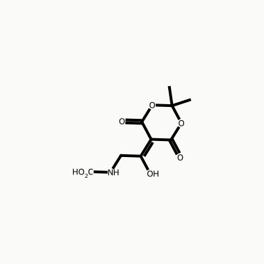 CC1(C)OC(=O)C(=C(O)CNC(=O)O)C(=O)O1